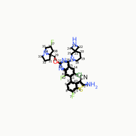 N#Cc1c(N)sc2c(F)ccc(-c3c(Cl)cc4c(N5CCCC6(CNC6)C5)nc(OC[C@@]56CCCN5C[C@H](F)C6)nc4c3F)c12